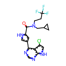 O=C(c1cc(-c2ncnc3[nH]cc(Cl)c23)c[nH]1)N(CCC(F)(F)F)CC1CC1